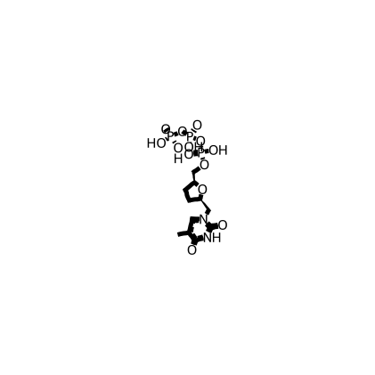 Cc1cn(C[C@H]2CC[C@@H](COP(=O)(O)OP(=O)(O)OP(=O)(O)O)O2)c(=O)[nH]c1=O